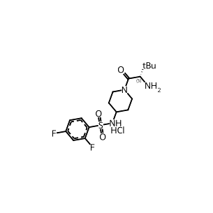 CC(C)(C)[C@H](N)C(=O)N1CCC(NS(=O)(=O)c2ccc(F)cc2F)CC1.Cl